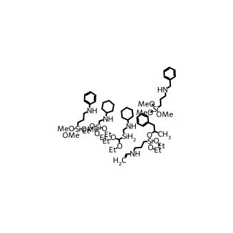 C=CNCCC[Si](OCC)(OCC)OC(C)Cc1ccccc1.CCOC(OCC)[SiH2]CNC1CCCCC1.CCO[Si](CNC1CCCCC1)(OCC)OCC.CO[Si](CCCNCc1ccccc1)(OC)OC.CO[Si](CCCNc1ccccc1)(OC)OC